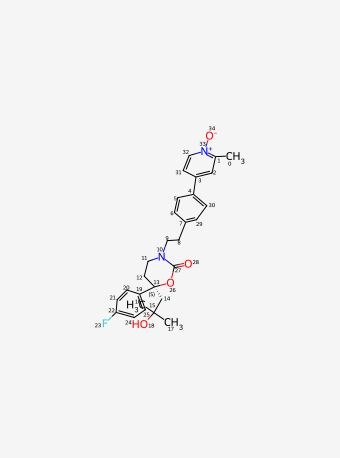 Cc1cc(-c2ccc(CCN3CC[C@](CC(C)(C)O)(c4ccc(F)cc4)OC3=O)cc2)cc[n+]1[O-]